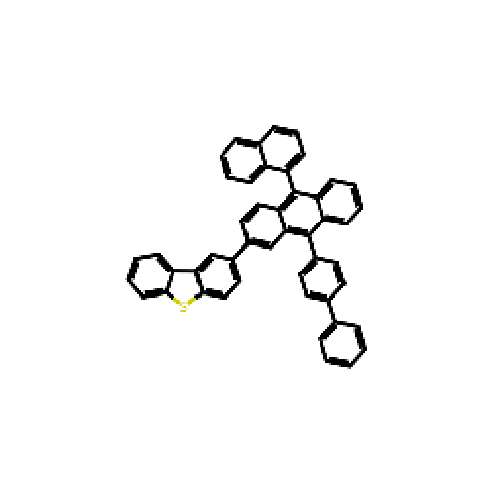 c1ccc(-c2ccc(-c3c4ccccc4c(-c4cccc5ccccc45)c4ccc(-c5ccc6sc7ccccc7c6c5)cc34)cc2)cc1